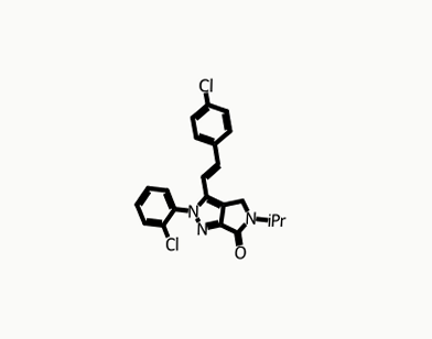 CC(C)N1Cc2c(nn(-c3ccccc3Cl)c2C=Cc2ccc(Cl)cc2)C1=O